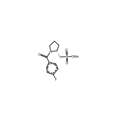 COS(=O)(=O)C[C@H]1CCCN1C(=O)c1ccc(F)cc1